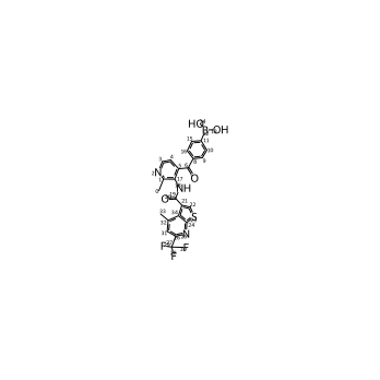 Cc1nccc(C(=O)c2ccc(B(O)O)cc2)c1NC(=O)c1csc2nc(C(F)(F)F)cc(C)c12